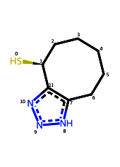 S[C@H]1CCCCCc2[nH]nnc21